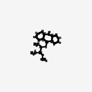 CCN(C)C(C)CN1c2ccccc2Sc2ccccc21